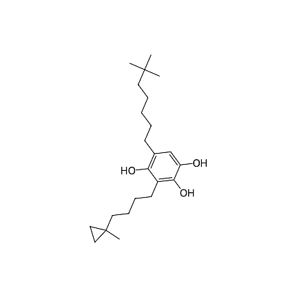 CC(C)(C)CCCCCc1cc(O)c(O)c(CCCCC2(C)CC2)c1O